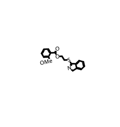 COc1ccccc1C(=O)OCCSC1=NCc2ccccc21